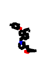 COC(=O)CC1CCCN(Cc2cccc3c(C(F)(F)F)c(OC4CCC(C)CC4)ccc23)C1